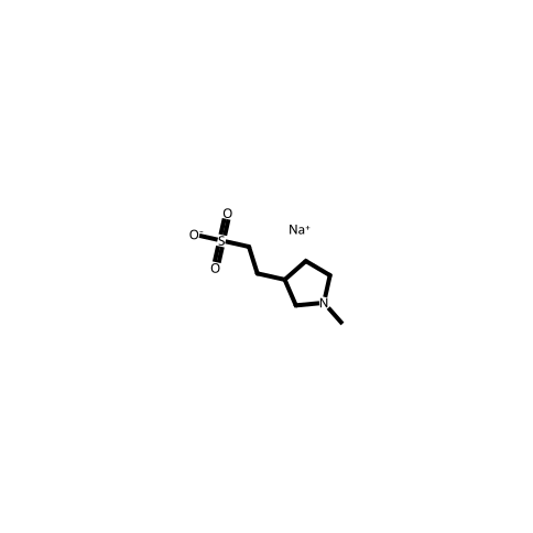 CN1CCC(CCS(=O)(=O)[O-])C1.[Na+]